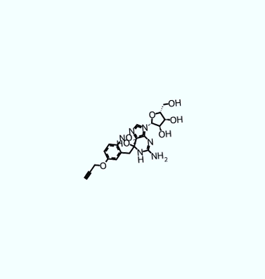 C#CCOc1ccc([N+](=O)[O-])c(CC2(O)NC(N)=Nc3c2ncn3[C@@H]2O[C@H](CO)[C@@H](O)[C@H]2O)c1